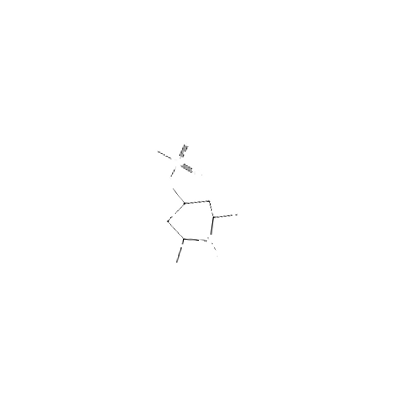 CC1CC(OS(C)(=O)=O)CC(C)N1C(=O)O